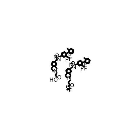 Cc1ccccc1-c1ccc(-c2nc(-c3ccc4c(c3)CN(CCC(=O)O)CC4)no2)cc1C(F)(F)F.Cc1ccccc1-c1ccc(-c2nc(-c3ccc4c(c3)CN(CCC(=O)OC(C)(C)C)CC4)no2)cc1C(F)(F)F